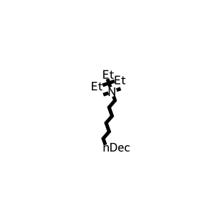 CCCCCCCCCCCCCCCC[N+](C)(C)C(CC)(CC)CC